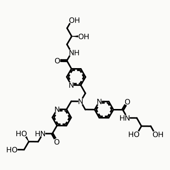 O=C(NCC(O)CO)c1ccc(CN(Cc2ccc(C(=O)NC[C@H](O)CO)cn2)Cc2ccc(C(=O)NC[C@H](O)CO)cn2)nc1